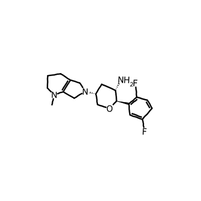 CN1CCCC2=C1CN([C@H]1CO[C@H](c3cc(F)ccc3F)[C@@H](N)C1)C2